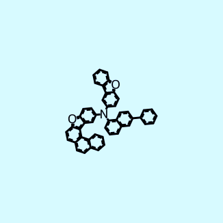 c1ccc(-c2ccc3c(N(c4ccc5oc6ccccc6c5c4)c4ccc5oc6ccc7ccc8ccccc8c7c6c5c4)cccc3c2)cc1